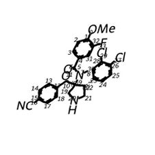 COc1ccc(C(=O)N(C)[C@]2(C(=O)c3ccc(C#N)cc3)CNC[C@H]2c2ccc(Cl)c(Cl)c2)cc1F